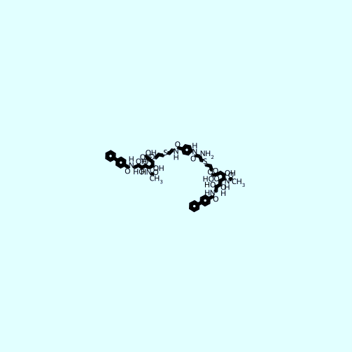 CC(=O)NC1[C@H]([C@H](O)[C@H](O)CNC(=O)c2ccc(-c3ccccc3)cc2)O[C@@](OCCCSCCNC(=O)c2ccc(NC(=O)C(N)CSCCCO[C@]3(C(=O)O)C[C@H](O)[C@@H](NC(C)=O)[C@H]([C@H](O)[C@H](O)CNC(=O)c4ccc(-c5ccccc5)cc4)O3)cc2)(C(=O)O)C[C@@H]1O